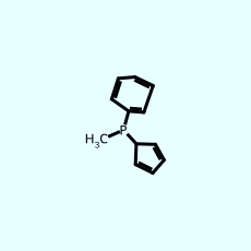 CP(c1ccccc1)C1C=CC=C1